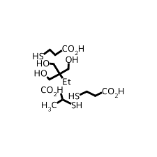 CC(S)C(=O)O.CCC(CO)(CO)CO.O=C(O)CCS.O=C(O)CCS